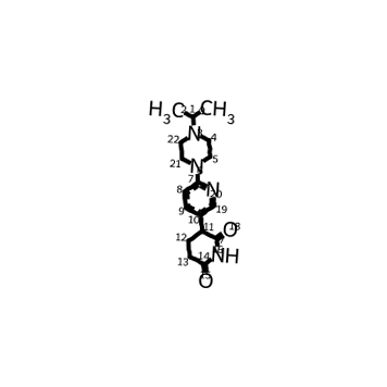 CC(C)N1CCN(c2ccc(C3CCC(=O)NC3=O)cn2)CC1